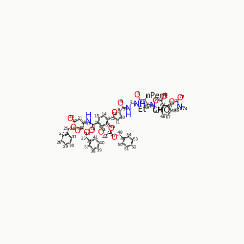 CCCCCC(C(=O)NCNC(=O)c1ccc(-c2ccc(C(=O)NC(CC(=O)OCc3ccccc3)C(=O)OCc3ccccc3)c(OCC(=O)OCc3ccccc3)c2)o1)C(CC)N(C=O)OC(=O)c1ccccc1OC(=O)N(C)C